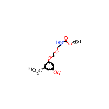 CC(C)(C)OC(=O)NCCOCCOc1cc(O)cc(C(=O)O)c1